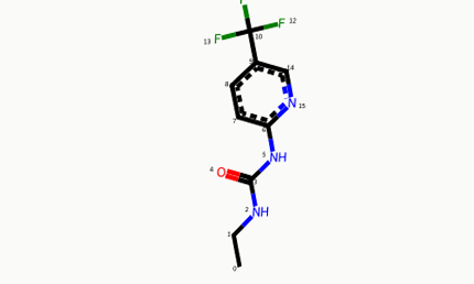 CCNC(=O)Nc1ccc(C(F)(F)F)cn1